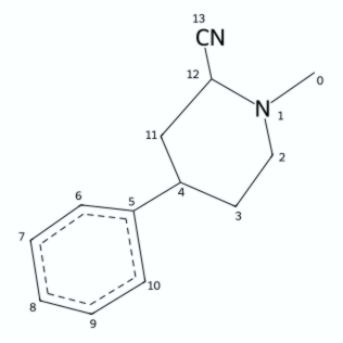 CN1CCC(c2ccccc2)CC1C#N